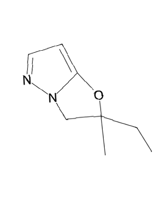 CCC1(C)Cn2nccc2O1